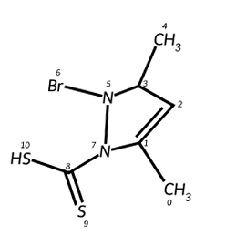 CC1=CC(C)N(Br)N1C(=S)S